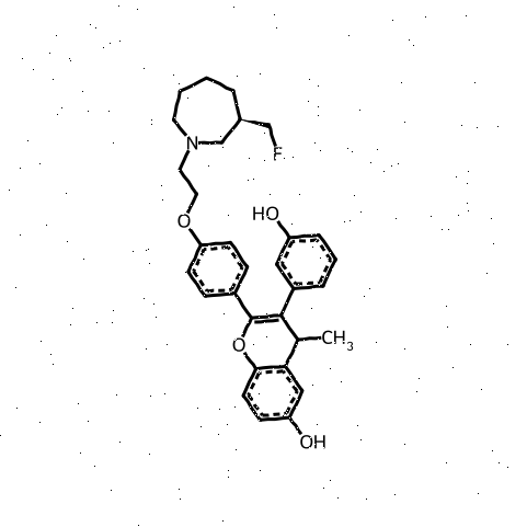 CC1C(c2cccc(O)c2)=C(c2ccc(OCCN3CCCC[C@@H](CF)C3)cc2)Oc2ccc(O)cc21